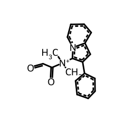 C[N+](C)(C(=O)C=O)c1c(-c2ccccc2)cc2ccccn12